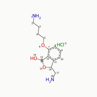 Cl.NCCCCOc1cccc2c1B(O)OC2CN